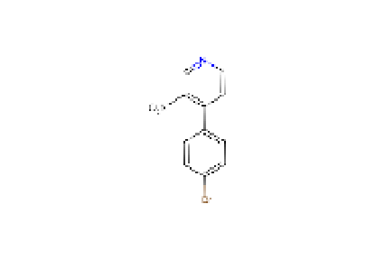 O=[N+]([O-])c1cnccc1-c1ccc(Br)cc1